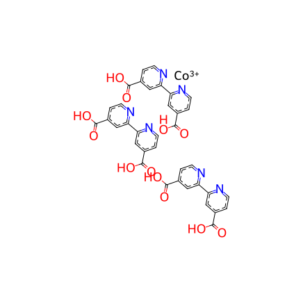 O=C(O)c1ccnc(-c2cc(C(=O)O)ccn2)c1.O=C(O)c1ccnc(-c2cc(C(=O)O)ccn2)c1.O=C(O)c1ccnc(-c2cc(C(=O)O)ccn2)c1.[Co+3]